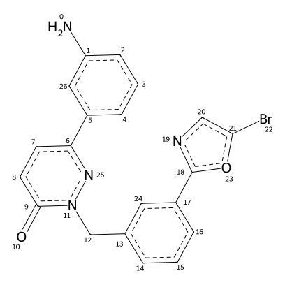 Nc1cccc(-c2ccc(=O)n(Cc3cccc(-c4ncc(Br)o4)c3)n2)c1